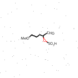 COCCCC(C=O)OS(=O)(=O)O